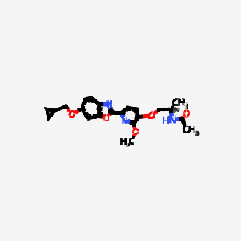 COc1nc(-c2nc3ccc(OCC4CC4)cc3o2)ccc1OC[C@H](C)NC(C)=O